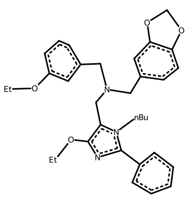 CCCCn1c(-c2ccccc2)nc(OCC)c1CN(Cc1cccc(OCC)c1)Cc1ccc2c(c1)OCO2